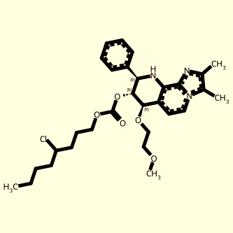 CCCCC(Cl)CCCOC(=O)O[C@@H]1[C@@H](c2ccccc2)Nc2c(ccn3c(C)c(C)nc23)[C@H]1OCCOC